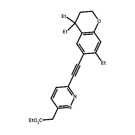 CCOC(=O)Cc1ccc(C#Cc2cc3c(cc2CC)OCCC3(CC)CC)nn1